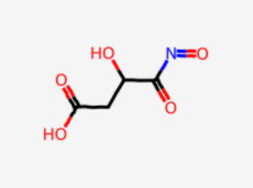 O=NC(=O)C(O)CC(=O)O